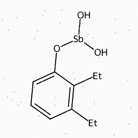 CCc1cccc([O][Sb]([OH])[OH])c1CC